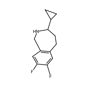 Fc1cc2c(cc1F)CNC(C1CC1)CC2